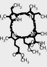 C=Cc1c(C)c2cc3nc(c(CC(=O)OC)c4[nH]c(cc5nc(cc1[nH]2)C(C)=C5CC)c(C)c4C(=O)NC)C(CCC(=O)OC)C3C